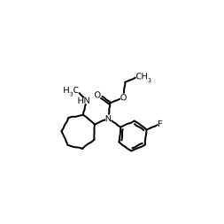 CCOC(=O)N(c1cccc(F)c1)C1CCCCCC1NC